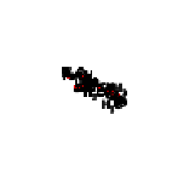 CC(=O)N1CCCN(C(=O)CP(C)OCCC(C)(C)SCc2cccc(C(=O)Nc3ccc(N4CCCCC4)cc3-c3cc(C(=O)NCc4cccc(C(F)(F)F)c4)ccn3)c2)CC1